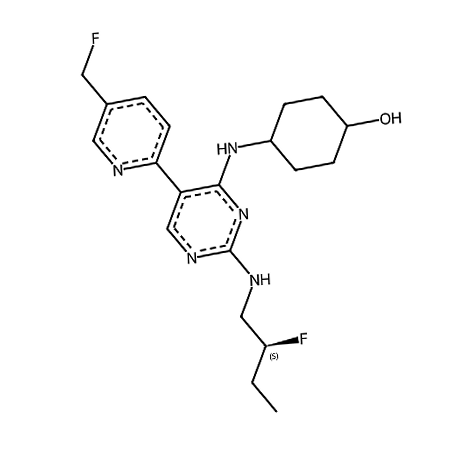 CC[C@H](F)CNc1ncc(-c2ccc(CF)cn2)c(NC2CCC(O)CC2)n1